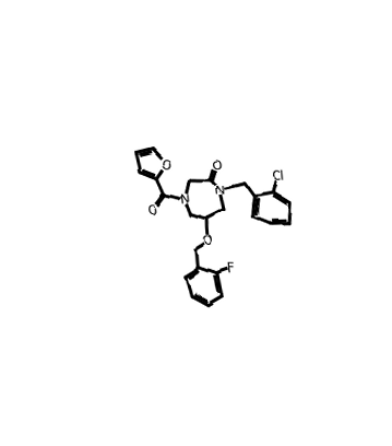 O=C1CN(C(=O)c2ccco2)CC(OCc2ccccc2F)CN1Cc1ccccc1Cl